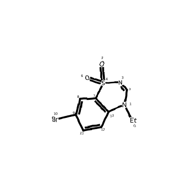 CCN1C=NS(=O)(=O)c2cc(Br)ccc21